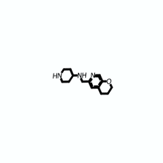 c1c(CNC2CCNCC2)ncc2c1CCCO2